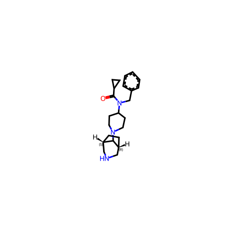 O=C(C1CC1)N(Cc1ccccc1)C1CCN(C2[C@@H]3CC[C@H]2CNC3)CC1